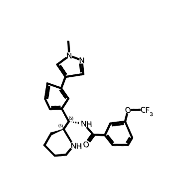 Cn1cc(-c2cccc([C@H](NC(=O)c3cccc(OC(F)(F)F)c3)[C@@H]3CCCCN3)c2)cn1